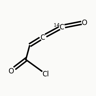 O=[14C]=C=CC(=O)Cl